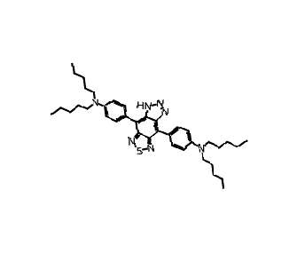 CCCCCN(CCCCC)c1ccc(-c2c3nsnc3c(-c3ccc(N(CCCCC)CCCCC)cc3)c3[nH]nnc23)cc1